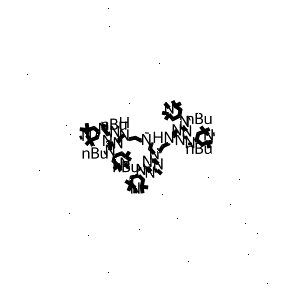 CCCCN(c1nc(C)nc(N(CCCNc2nc(N(CCCC)C3CC(C)(C)N(C)C(C)(C)C3)nc(N(CCCC)C3CC(C)(C)N(C)C(C)(C)C3)n2)CCN(C)CCCNc2nc(N(CCCC)C3CC(C)(C)N(C)C(C)(C)C3)nc(N(CCCC)C3CC(C)(C)N(C)C(C)(C)C3)n2)n1)C1CC(C)(C)N(C)C(C)(C)C1